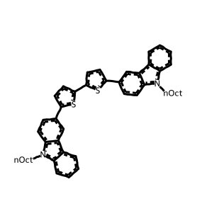 CCCCCCCCn1c2ccccc2c2cc(-c3ccc(-c4ccc(-c5ccc6c(c5)c5ccccc5n6CCCCCCCC)s4)s3)ccc21